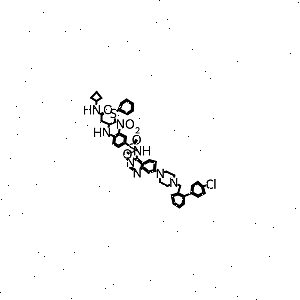 O=C(CC(CSc1ccccc1)Nc1ccc(S(=O)(=O)Nc2ncnc3cc(N4CCN(Cc5ccccc5-c5ccc(Cl)cc5)CC4)ccc23)cc1[N+](=O)[O-])NC1CCC1